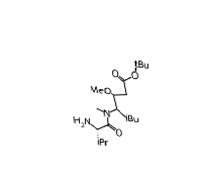 CCC(C)C(C(CC(=O)OC(C)(C)C)OC)N(C)C(=O)[C@@H](N)C(C)C